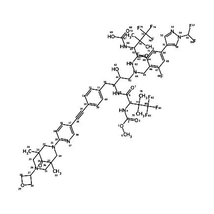 COC(=O)NC(C(=O)NC(Cc1ccc(C#Cc2ccc(N3CC4(C)CN(C5COC5)CC(C)(C3)C4=O)nc2)cc1)C(O)CN(Cc1c(F)cc(-c2cnn(C(F)F)c2)cc1F)NC(=O)C(NC(=O)O)C(C)(C)C(F)(F)F)C(C)(C)C(F)(F)F